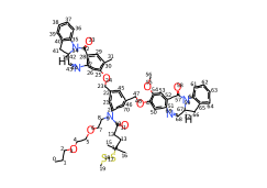 CCCOCCOCCN(C(=O)CCC(C)(C)SSC)c1cc(COc2cc3c(cc2C)C(=O)N2c4ccccc4C[C@H]2C=N3)cc(COc2cc3c(cc2OC)C(=O)N2c4ccccc4C[C@H]2C=N3)c1